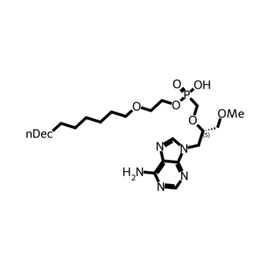 CCCCCCCCCCCCCCCCOCCOP(=O)(O)CO[C@H](COC)Cn1cnc2c(N)ncnc21